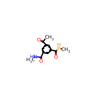 CNC(=O)c1cc(C(C)=O)cc(C(=O)PC)c1